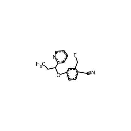 CCC(Oc1ccc(C#N)c(CF)c1)c1ccccn1